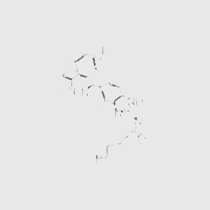 O=c1[nH]nc(-c2ccc3[nH]c(NC(O)OCCCCl)nc3c2)c2cc(F)ccc12